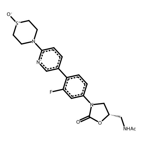 CC(=O)NC[C@H]1CN(c2ccc(-c3ccc(N4CC[S+]([O-])CC4)nc3)c(F)c2)C(=O)O1